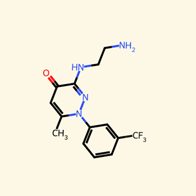 Cc1cc(=O)c(NCCN)nn1-c1cccc(C(F)(F)F)c1